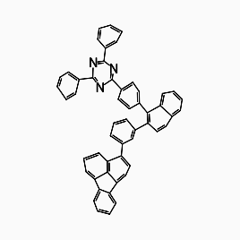 c1ccc(-c2nc(-c3ccccc3)nc(-c3ccc(-c4c(-c5cccc(-c6ccc7c8c(cccc68)-c6ccccc6-7)c5)ccc5ccccc45)cc3)n2)cc1